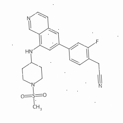 CS(=O)(=O)N1CCC(Nc2cc(-c3ccc(CC#N)c(F)c3)cc3ccncc23)CC1